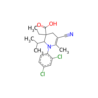 CCC1(C(=O)O)CC(C#N)=C(C)N(c2ccc(Cl)cc2Cl)C1C(C)C